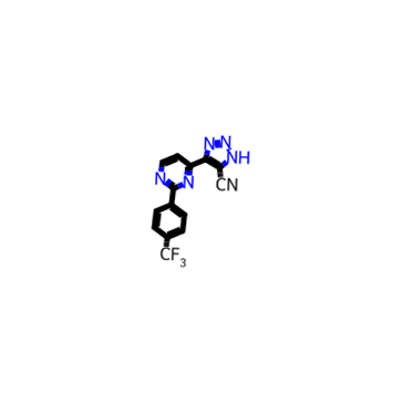 N#Cc1[nH]nnc1-c1ccnc(-c2ccc(C(F)(F)F)cc2)n1